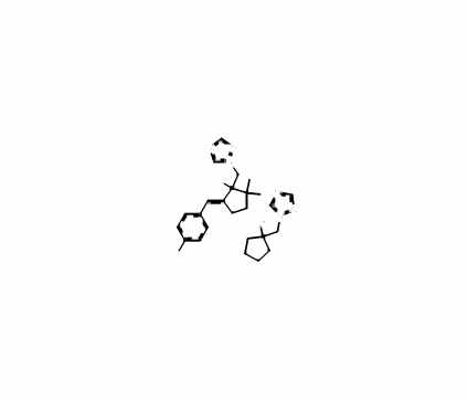 CC1(C)CC/C(=C\c2ccc(Cl)cc2)C1(O)Cn1cncn1.OC1(Cn2cncn2)CCCC1